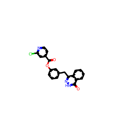 O=C(Oc1cccc(Cc2n[nH]c(=O)c3ccccc23)c1)c1ccnc(Cl)c1